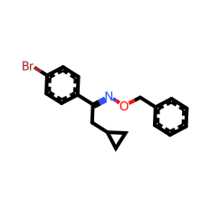 Brc1ccc(C(CC2CC2)=NOCc2ccccc2)cc1